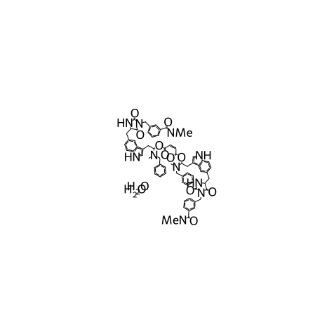 CNC(=O)c1cccc(CN2C(=O)NC(Cc3ccc4[nH]cc(CC(OC(=O)/C=C\C(=O)OC(Cc5c[nH]c6ccc(CC7NC(=O)N(Cc8cccc(C(=O)NC)c8)C7=O)cc56)N(C)Cc5ccccc5)N(C)Cc5ccccc5)c4c3)C2=O)c1.O.O